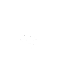 CCS(=O)(=O)C(=O)Nc1ccccc1